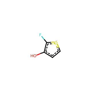 Oc1ccsc1F